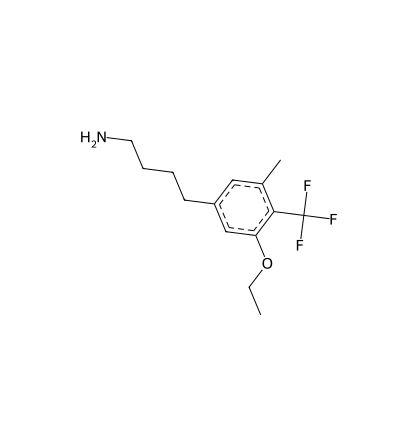 CCOc1cc(CCCCN)cc(C)c1C(F)(F)F